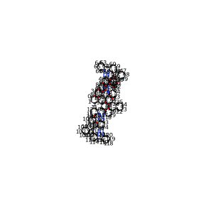 c1ccc(-c2ccccc2-c2ccccc2N(c2ccc(-c3ccccc3-c3ccc(-c4ccccc4N(c4ccc5c(c4)C4(c6ccccc6-c6ccccc64)c4cccc6c7ccccc7n-5c46)c4ccccc4-c4ccccc4-c4ccccc4)cc3)cc2)c2ccc3c(c2)C2(c4ccccc4-c4ccccc42)c2cccc4c5ccccc5n-3c24)cc1